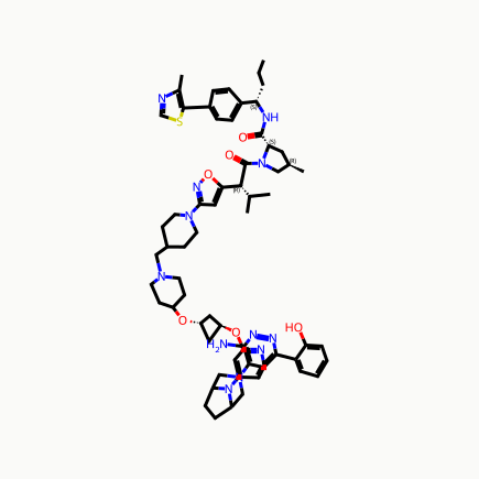 CCC[C@H](NC(=O)[C@@H]1C[C@@H](C)CN1C(=O)[C@@H](c1cc(N2CCC(CN3CCC(O[C@H]4C[C@H](Oc5cc(N6C7CCC6CN(c6cc(-c8ccccc8O)nnc6N)C7)ccn5)C4)CC3)CC2)no1)C(C)C)c1ccc(-c2scnc2C)cc1